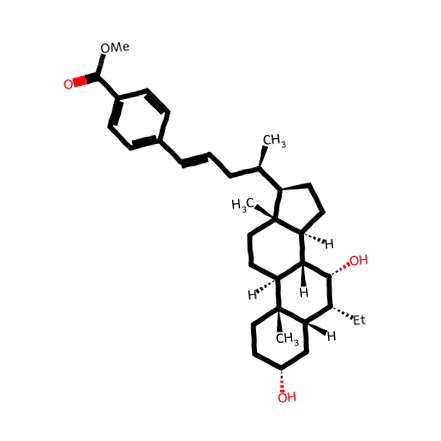 CC[C@H]1[C@@H](O)[C@@H]2[C@H](CC[C@]3(C)[C@@H]([C@H](C)C/C=C/c4ccc(C(=O)OC)cc4)CC[C@@H]23)[C@@]2(C)CC[C@@H](O)C[C@@H]12